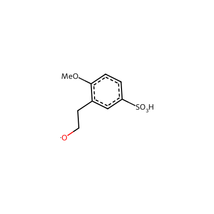 COc1ccc(S(=O)(=O)O)cc1CC[O]